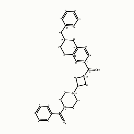 O=C(c1ccccc1)N1CCN(C2CN(C(=O)c3ccc4c(c3)CCC(Cc3ccccc3)C4)C2)CC1